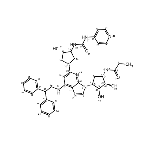 CCC(=O)N[C@H]1C[C@@H](n2cnc3c(NCC(c4ccccc4)c4ccccc4)nc(N4CCC(NC(=O)Nc5ccncc5)C4)nc32)[C@H](O)[C@@H]1O.Cl